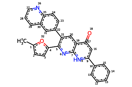 Cc1ccc(-c2nc3[nH]c(-c4ccccc4)cc(=O)c3cc2-c2ccc3ncccc3c2)o1